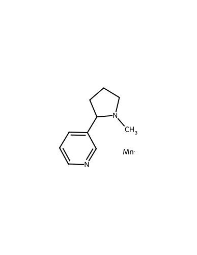 CN1CCCC1c1cccnc1.[Mn]